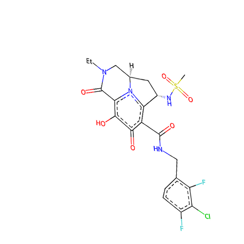 CCN1C[C@H]2C[C@H](NS(C)(=O)=O)c3c(C(=O)NCc4ccc(F)c(Cl)c4F)c(=O)c(O)c(n32)C1=O